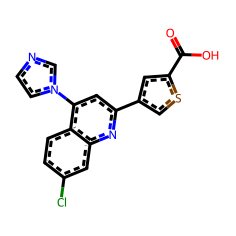 O=C(O)c1cc(-c2cc(-n3ccnc3)c3ccc(Cl)cc3n2)cs1